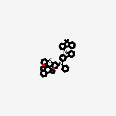 CC1(C)c2ccccc2-c2c(-n3c4ccccc4c4cc(N(c5ccccc5)c5ccc6c(c5)Sc5ccccc5C65c6ccccc6-c6cccc7cccc5c67)ccc43)cccc21